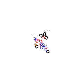 COc1ccc(C(OC[C@H]2O[C@@H](n3c(=O)[nH]c4c(NC(=O)Nc5ccccc5)ncnc43)C[C@@H]2O[P@]2O[C@H](CS(=O)(=O)c3ccccc3)[C@@H]3CCCN32)(c2ccccc2)c2ccc(OC)cc2)cc1